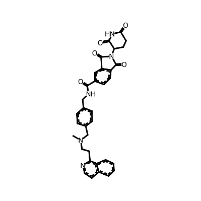 CN(CCc1nccc2ccccc12)Cc1ccc(CNC(=O)c2ccc3c(c2)C(=O)N(C2CCC(=O)NC2=O)C3=O)cc1